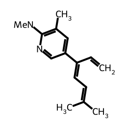 C=C/C(=C\C=C(C)C)c1cnc(NC)c(C)c1